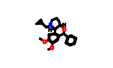 COc1cc2c(cc1OC)[C@@H]1[C@@H](CCCN1CC1CC1)OC2c1ccccc1